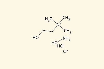 C[N+](C)(C)CCO.Cl.NO.[Cl-]